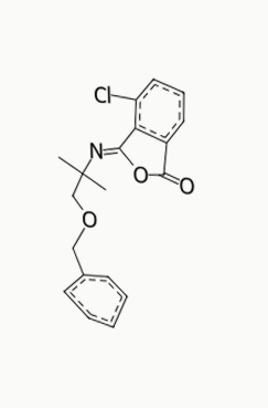 CC(C)(COCc1ccccc1)N=C1OC(=O)c2cccc(Cl)c21